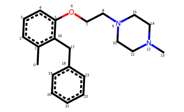 Cc1cccc(OCCN2CCN(C)CC2)c1Cc1ccccc1